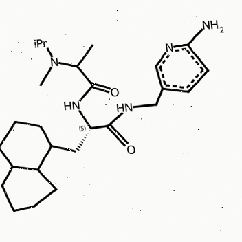 CC(C)N(C)C(C)C(=O)N[C@@H](CC1CCCC2CCCCC21)C(=O)NCc1ccc(N)nc1